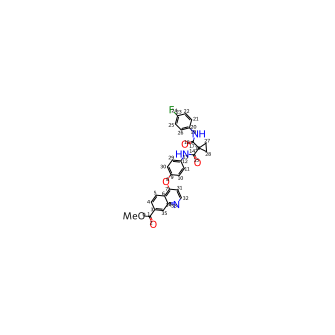 COC(=O)c1ccc2c(Oc3ccc(NC(=O)C4(C(=O)Nc5ccc(F)cc5)CC4)cc3)ccnc2c1